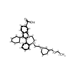 CCOCC1CCCN(CCN2CCn3c(c(C4CCCCC4)c4ccc(C(=O)O)cc43)-c3ccccc32)C1